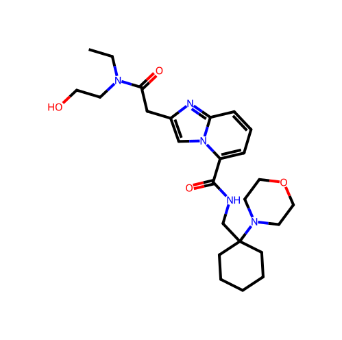 CCN(CCO)C(=O)Cc1cn2c(C(=O)NCC3(N4CCOCC4)CCCCC3)cccc2n1